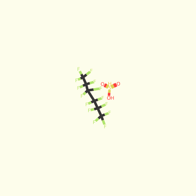 FC(F)(F)C(F)(F)C(F)(F)C(F)(F)C(F)(F)C(F)(F)F.O=[SH](=O)O